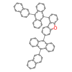 c1ccc2cc(-c3c4ccccc4c(-c4ccc5c(c4)oc4cccc(-c6c7ccccc7c(-c7ccc8ccccc8c7)c7ccccc67)c45)c4ccccc34)ccc2c1